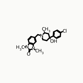 C[C@H]1C[C@](O)(c2ccc(Cl)cc2)CCN1Cc1ccc2c(c1)n(C)c(=O)n2C